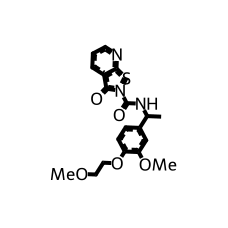 COCCOc1ccc(C(C)NC(=O)n2sc3ncccc3c2=O)cc1OC